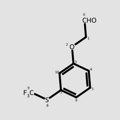 O=CCOc1cccc(SC(F)(F)F)c1